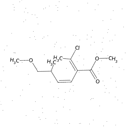 COCC(C)/C=C\C(C(=O)OC)=C(/C)Cl